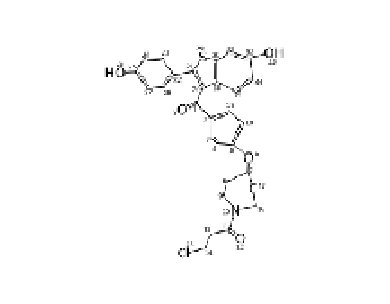 O=C(c1ccc(OC2CCN(C(=O)CCCl)CC2)cc1)c1c(-c2ccc(O)cc2)sc2cc(O)ccc12